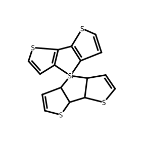 C1=CC2C(S1)C1SC=CC1[Si]21c2ccsc2-c2sccc21